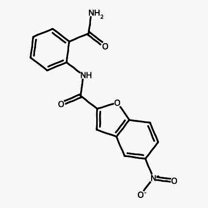 NC(=O)c1ccccc1NC(=O)c1cc2cc([N+](=O)[O-])ccc2o1